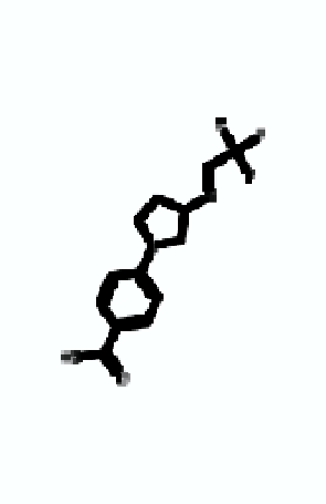 O=C(O)c1ccc(N2CCC(/N=C/C(F)(F)F)C2)cc1